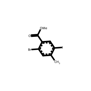 COC(=O)c1cc(I)c(C)cc1Br